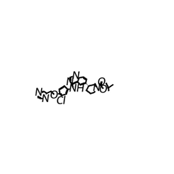 CC(C)(C)OC(=O)N1CCC[C@H](c2ccc3ncnc(Nc4ccc(OCc5cnccn5)c(Cl)c4)c3c2)C1